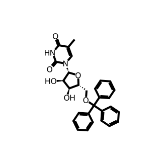 Cc1cn([C@@H]2O[C@H](COC(c3ccccc3)(c3ccccc3)c3ccccc3)[C@@H](O)[C@H]2O)c(=O)[nH]c1=O